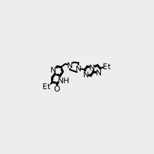 CCc1cn2cc(N3CCN(Cc4cnc5cc(CC)c(=O)[nH]c5c4)CC3)ncc2n1